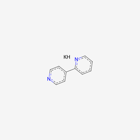 [KH].c1ccc(-c2ccncc2)nc1